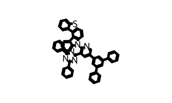 c1ccc(-c2cc(-c3ccccc3)cc(-c3cnc(-n4c5ccccc5c5c6c(ccc54)sc4ccccc46)c(-c4nc(-c5ccccc5)nc(-c5ccccc5)n4)c3)c2)cc1